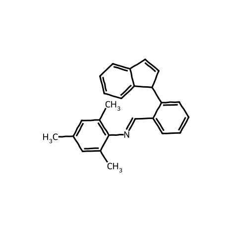 Cc1cc(C)c(N=Cc2ccccc2C2C=Cc3ccccc32)c(C)c1